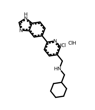 Cl.Cl.c1nc2cc(-c3ccc(CNCC4CCCCC4)cn3)ccc2[nH]1